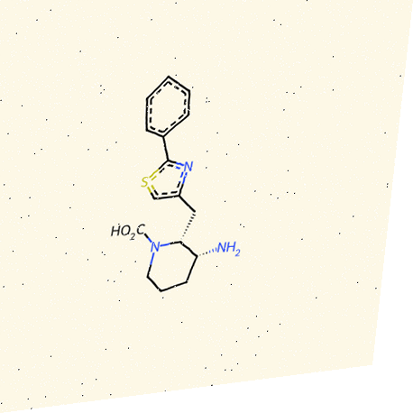 N[C@@H]1CCCN(C(=O)O)[C@@H]1Cc1csc(-c2ccccc2)n1